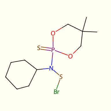 CC1(C)COP(=S)(N(SBr)C2CCCCC2)OC1